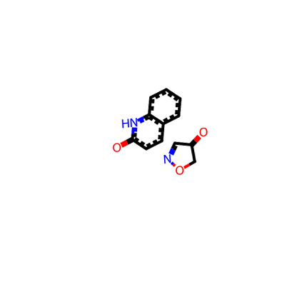 O=C1C=NOC1.O=c1ccc2ccccc2[nH]1